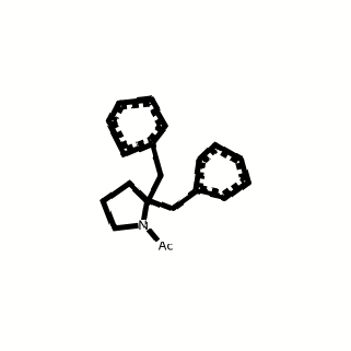 CC(=O)N1CCCC1(Cc1ccccc1)Cc1ccccc1